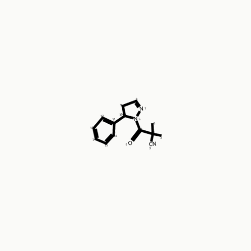 CC(C)(C#N)C(=O)N1N=CCC1c1ccccc1